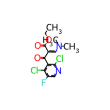 CCOC(=O)C(=CN(C)C)C(=O)c1c(Cl)ncc(F)c1Cl